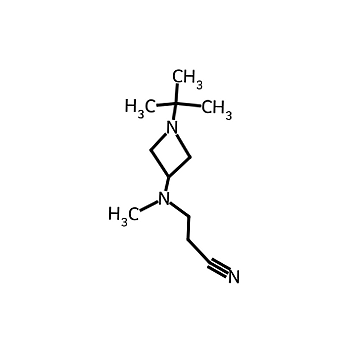 CN(CCC#N)C1CN(C(C)(C)C)C1